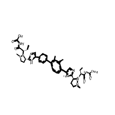 CC[C@@H](C(=O)NC(=O)O)N1[C@H](c2ncc(-c3ccc(-c4ccc(-c5cnc([C@@H]6CCN(C)N6[C@@H](CC)C(=O)NC(=O)O)[nH]5)c(C)c4C)cc3)[nH]2)CCN1C